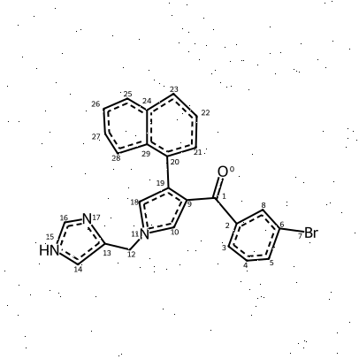 O=C(c1cccc(Br)c1)c1cn(Cc2c[nH]cn2)cc1-c1cccc2ccccc12